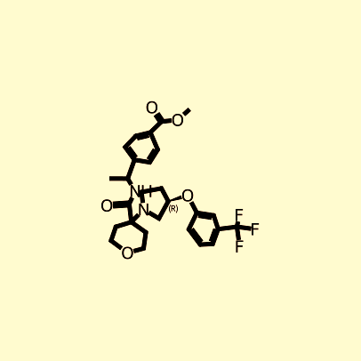 COC(=O)c1ccc(C(C)NC(=O)C2(N3CC[C@@H](Oc4cccc(C(F)(F)F)c4)C3)CCOCC2)cc1